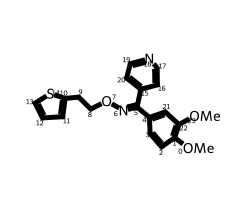 COc1ccc(C(=NOCCc2cccs2)c2ccncc2)cc1OC